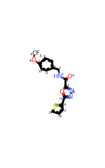 O=C(NCc1ccc(OC(F)(F)F)cc1)c1nnc(-c2cccs2)o1